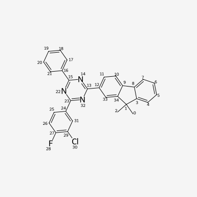 CC1(C)c2ccccc2-c2ccc(-c3nc(-c4ccccc4)nc(-c4ccc(F)c(Cl)c4)n3)cc21